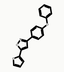 c1ccc(Oc2ccc(-c3cc(-c4ccco4)on3)cc2)cc1